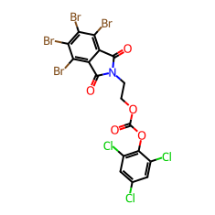 O=C(OCCN1C(=O)c2c(Br)c(Br)c(Br)c(Br)c2C1=O)Oc1c(Cl)cc(Cl)cc1Cl